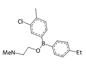 CCc1ccc(B(OCCNC)c2ccc(C)c(Cl)c2)cc1